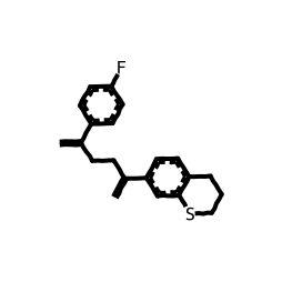 C=C(CCC(=C)c1ccc2c(c1)SCCC2)c1ccc(F)cc1